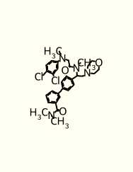 CN(C)C(=O)c1cccc(-c2ccc(C(CN3CCOCC3)N(C)C(=O)CN(C)c3ccc(Cl)c(Cl)c3)cc2)c1